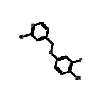 N#Cc1ccc(OCc2ccnc(Cl)c2)cc1F